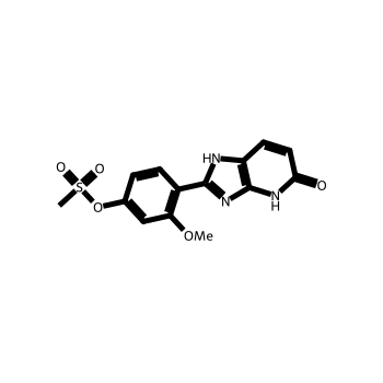 COc1cc(OS(C)(=O)=O)ccc1-c1nc2[nH]c(=O)ccc2[nH]1